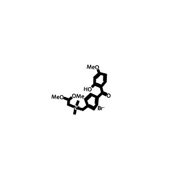 COc1ccc(C(=O)c2ccc(C[N+](C)(C)CC(OC)OC)cc2)c(O)c1.[Br-]